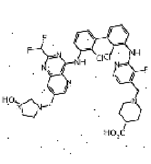 O=C(O)C1CCN(Cc2ccnc(Nc3cccc(-c4cccc(Nc5nc(C(F)F)nc6cc(CN7CC[C@@H](O)C7)cnc56)c4Cl)c3Cl)c2F)CC1